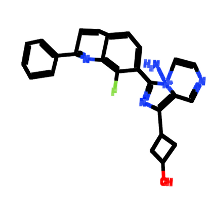 N[N+]12C=CN=CC1=C(C1CC(O)C1)N=C2c1ccc2ccc(-c3ccccc3)nc2c1F